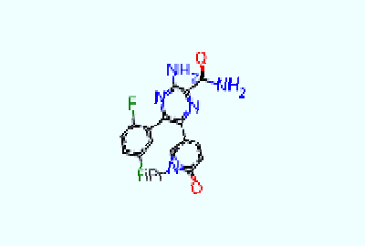 CC(C)n1cc(-c2nc(C(N)=O)c(N)nc2-c2cc(F)ccc2F)ccc1=O